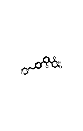 O=C1CCC(c2cccc(-c3ccc(CCN4CCOCC4)cc3)c2Cl)C(=O)N1